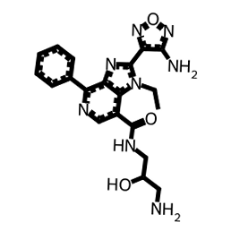 CCn1c(-c2nonc2N)nc2c(-c3ccccc3)ncc(C(=O)NCC(O)CN)c21